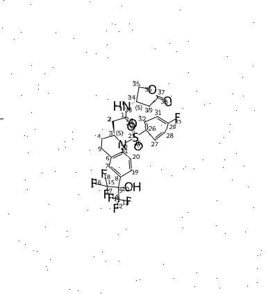 O=C(C[C@@H]1CCc2cc(C(O)(C(F)(F)F)C(F)(F)F)ccc2N1S(=O)(=O)c1ccc(F)cc1)N[C@@H]1COC(=O)C1